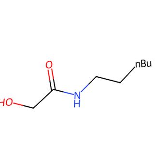 CCCCCCNC(=O)CO